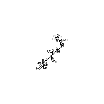 CCC(=O)N(CCNC(=O)CCCc1cn(C2CC(n3cc(C)c(=O)[nH]c3=O)OC2CO)nn1)CCN(CCSCCC(=O)NC1C(O)OC(CO)[C@@H](O)[C@H]1O)C(=O)CC